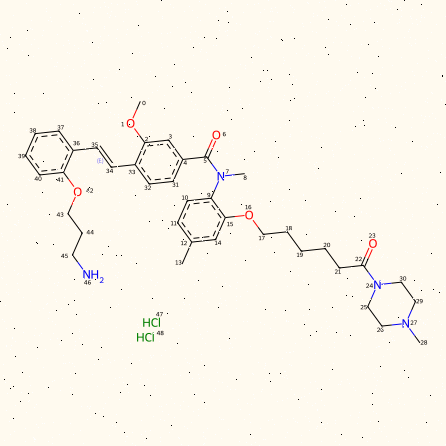 COc1cc(C(=O)N(C)c2ccc(C)cc2OCCCCCC(=O)N2CCN(C)CC2)ccc1/C=C/c1ccccc1OCCCN.Cl.Cl